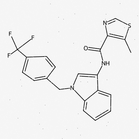 Cc1scnc1C(=O)Nc1cn(Cc2ccc(C(F)(F)F)cc2)c2ccccc12